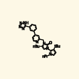 CCCCc1cn(-c2c(C(C)(C)C)ccn2CCC)c(=O)n1Cc1cc(-c2cccc(-c3nnn[nH]3)c2)ccn1